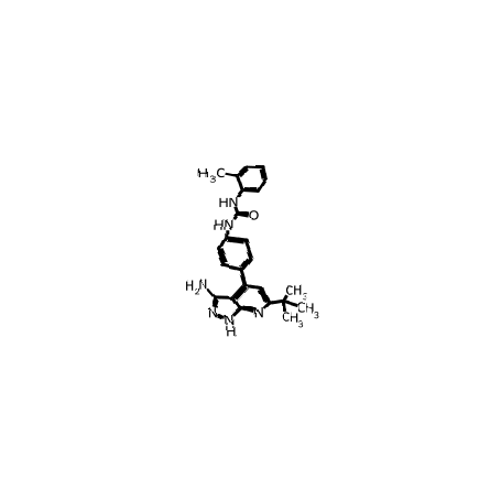 Cc1ccccc1NC(=O)Nc1ccc(-c2cc(C(C)(C)C)nc3[nH]nc(N)c23)cc1